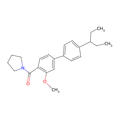 CCC(CC)c1ccc(-c2ccc(C(=O)N3CCCC3)c(OC)c2)cc1